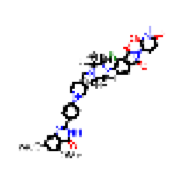 [2H]C1([2H])N(CC2CCN(c3ccc(-c4nc5cc(OC)cc(OC)c5c(=O)[nH]4)cc3)CC2)C([2H])([2H])C([2H])([2H])N(c2ccc3c(c2F)C(=O)N(C2CCC(=O)NC2=O)C3=O)C1([2H])[2H]